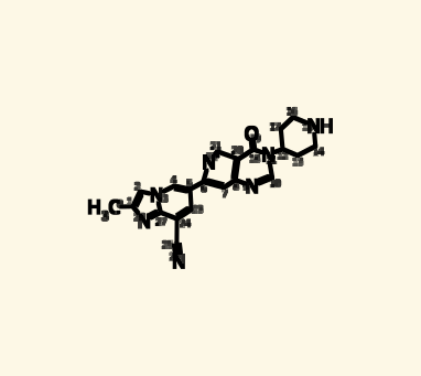 Cc1cn2cc(-c3cc4ncn(C5CCNCC5)c(=O)c4cn3)cc(C#N)c2n1